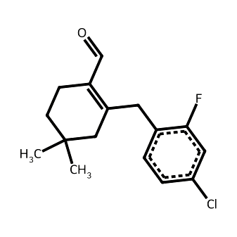 CC1(C)CCC(C=O)=C(Cc2ccc(Cl)cc2F)C1